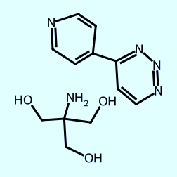 NC(CO)(CO)CO.c1cc(-c2ccnnn2)ccn1